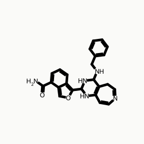 NC(=O)c1cccc2c(C3NC4=C(CC=NC=C4)C(NCc4ccccc4)N3)occ12